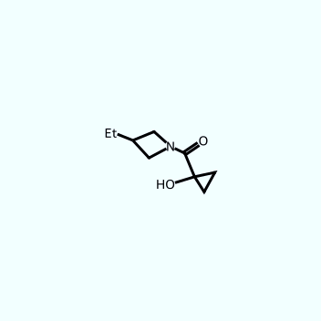 CCC1CN(C(=O)C2(O)CC2)C1